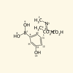 CC(=O)O.CN=CC(=O)O.OB(O)c1cccc(O)c1